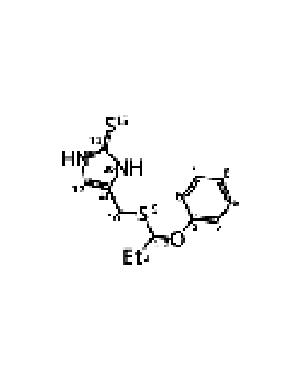 CCC(Oc1ccccc1)SCc1c[nH]c(=S)[nH]1